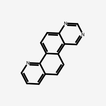 c1cnc2c(c1)ccc1c3cncnc3ccc12